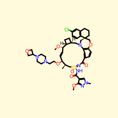 COc1nn(C)cc1C(=O)NS1(=O)=NC(=O)c2ccc3c(c2)N(C[C@@H]2CC[C@H]2[C@@H](OC)/C=C/[C@H](OCCN2CCN(C4COC4)CC2)[C@H](C)C1)C[C@@]1(CCCc2cc(Cl)ccc21)CO3